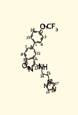 FC(F)(F)Oc1ccc(-c2ccc3onc(NCCn4cncn4)c3c2)cc1